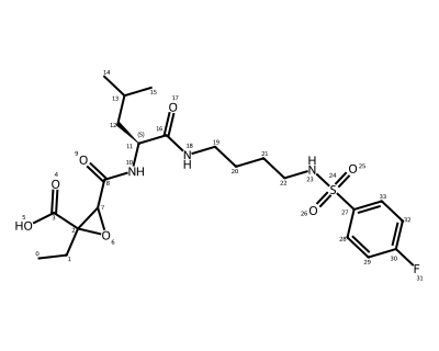 CCC1(C(=O)O)OC1C(=O)N[C@@H](CC(C)C)C(=O)NCCCCNS(=O)(=O)c1ccc(F)cc1